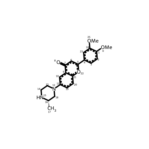 COc1ccc(-c2cc(=O)c3cc(N4CCN[C@@H](C)C4)ccc3o2)cc1OC